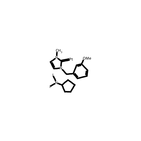 COc1cccc(Cn2ccn(C)[c]2=[Pt])c1.IN(I)C1CCCC1